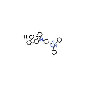 CC1(C)c2ccccc2-c2ccc3c(c21)c1ccccc1n3-c1ccc(-c2nc(-c3ccccc3)nc(-c3ccccc3)n2)cc1